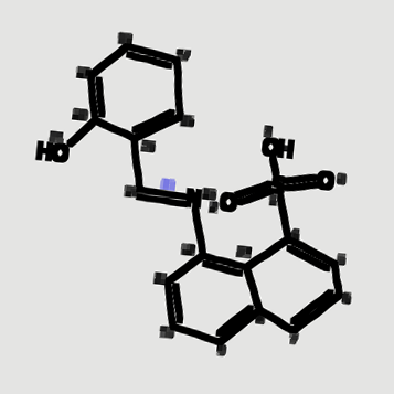 O=S(=O)(O)c1cccc2cccc(/N=C/c3ccccc3O)c12